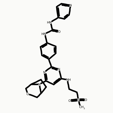 CS(=O)(=O)CCNc1cc(N2C3CCC2COC3)nc(-c2ccc(NC(=O)Nc3ccncc3)cc2)n1